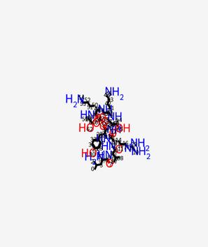 CC(C)C[C@H](N)C(=O)N[C@H](C(=O)N[C@@H](CCCN=C(N)N)C(=O)N[C@@H](Cc1ccc(O)cc1)C(=O)N[C@H](C(=O)N[C@@H](CCCCN)C(=O)N[C@@H](CCCCN)C(=O)N[C@@H](C)C(=O)O)[C@@H](C)O)C(C)C